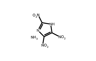 N.O=[N+]([O-])c1nc([N+](=O)[O-])c([N+](=O)[O-])[nH]1